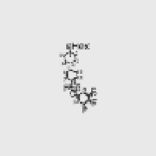 CCCCCC[C@H]1CC[C@H](c2ccc(C(F)(F)Oc3cc(F)c(F)c(F)c3)cc2)CC1